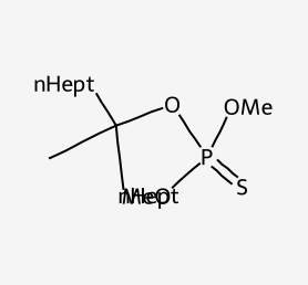 CCCCCCCC(C)(CCCCCCC)OP(=S)(OC)OC